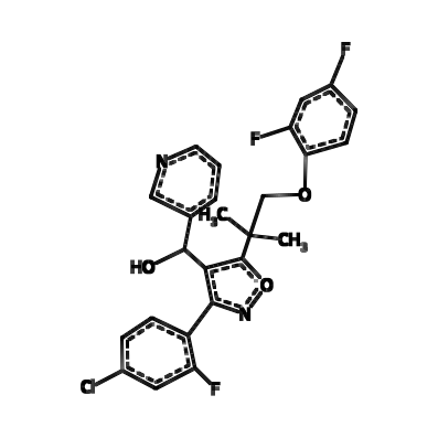 CC(C)(COc1ccc(F)cc1F)c1onc(-c2ccc(Cl)cc2F)c1C(O)c1cccnc1